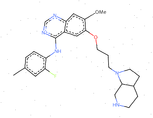 COc1cc2ncnc(Nc3ccc(C)cc3F)c2cc1OCCCN1CCC2CCNCC21